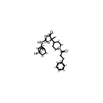 CC1(C2CCN(C(=O)CCc3ccccc3)CC2)SC(NC2=C3CC[C@@H](C3)C2)=NC1=O